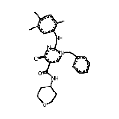 Cc1cc(C)c(Nc2nc(=O)c(C(=O)NC3CCOCC3)cn2Cc2ccccc2)cc1C